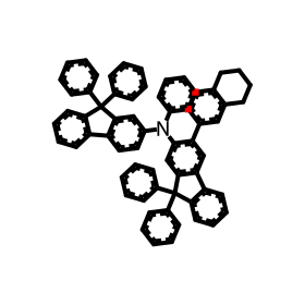 c1ccc(N(c2ccc3c(c2)C(c2ccccc2)(c2ccccc2)c2ccccc2-3)c2cc3c(cc2-c2ccc4c(c2)CCCC4)-c2ccccc2C3(c2ccccc2)c2ccccc2)cc1